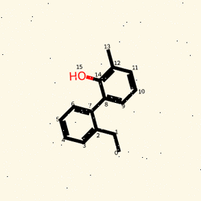 CCc1ccccc1-c1cccc(C)c1O